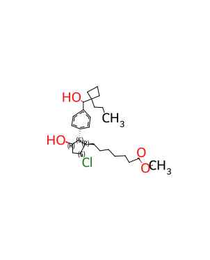 CCCC1(C(O)c2ccc([C@@H]3[C@@H](CCCCCCC(=O)OC)[C@@H](Cl)C[C@H]3O)cc2)CCC1